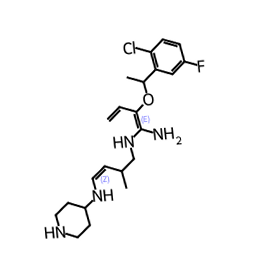 C=C/C(OC(C)c1cc(F)ccc1Cl)=C(/N)NCC(C)/C=C\NC1CCNCC1